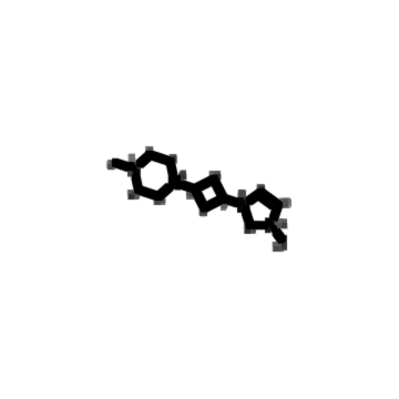 CN1CCN(C2CC(N3C=CN(I)C3)C2)CC1